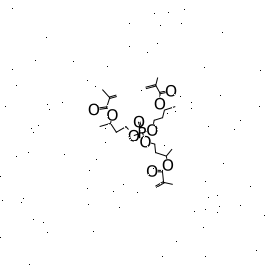 C=C(C)C(=O)OC(C)CCOP(=O)(OCCC(C)OC(=O)C(=C)C)OCCC(C)OC(=O)C(=C)C